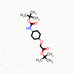 CC(C)(C)OC(=O)CO[C@H]1CC[C@H](NC(=O)OC(C)(C)C)CC1